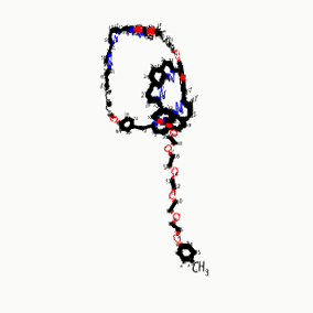 Cc1ccc(OCCOCCOCCOCCOCCOc2ccc(-c3ccc4ccc5ccc(-c6cc7ccc6OCCCc6ccc(nc6)-c6cccc(n6)-c6ccc(cn6)CCCOc6ccc(cc6)Cc6ccc8ccc9ccc-7nc9c8n6)nc5c4n3)cc2)cc1